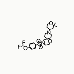 CC1(C)CC(N2CCC3(CC2)CN(S(=O)(=O)c2ccc(OC(F)F)cc2)CCO3)CCO1